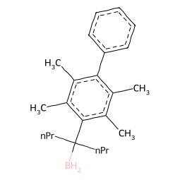 BC(CCC)(CCC)c1c(C)c(C)c(-c2ccccc2)c(C)c1C